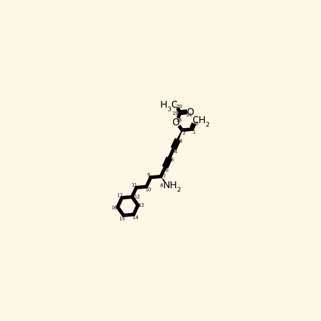 C=C[C@@H](C#CC#C[C@H](N)CCCC1CCCCC1)OC(C)=O